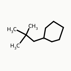 CC(C)(C)C[C]1CCCCC1